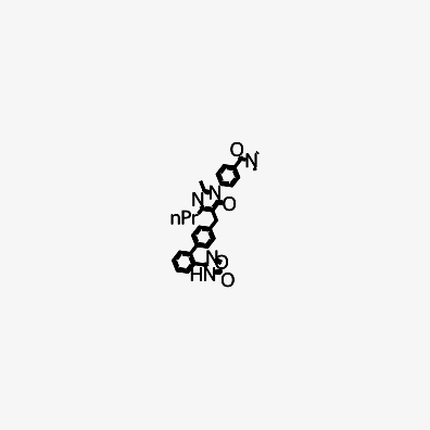 CCCc1nc(C)n(-c2ccc(C(=O)N(C)C)cc2)c(=O)c1Cc1ccc(-c2ccccc2-c2noc(=O)[nH]2)cc1